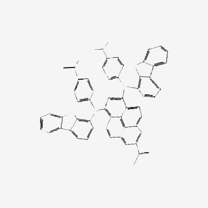 CC(C)c1ccc(N(c2cc(N(c3ccc(C(C)C)cc3)c3cccc4c3oc3ccccc34)c3ccc4cc(C(C)C)cc5ccc2c3c54)c2cccc3c2oc2ccccc23)cc1